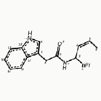 C/C=C\C(CCC)NC(=O)Cc1c[nH]c2ccccc12